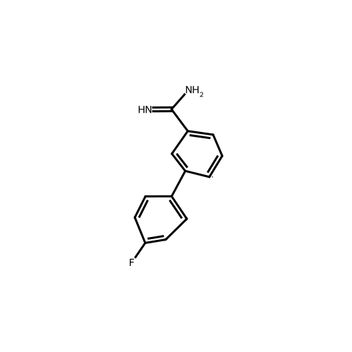 N=C(N)c1cc[c]c(-c2ccc(F)cc2)c1